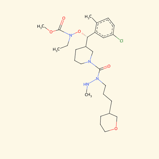 CCN(O[C@H](c1cc(Cl)ccc1C)C1CCCN(C(=O)N(CCCC2CCCOC2)NC)C1)C(=O)OC